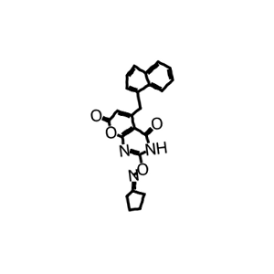 O=c1cc(Cc2cccc3ccccc23)c2c(=O)[nH]c(ON=C3CCCC3)nc2o1